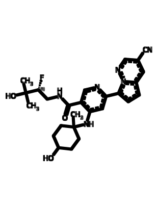 CC1(Nc2cc(-c3ccc4cc(C#N)cnn34)ncc2C(=O)NC[C@@H](F)C(C)(C)O)CCC(O)CC1